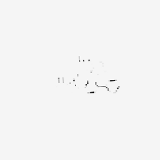 Cl.NC1CCN(c2ccc(-c3ccccc3F)c(CS(N)(=O)=O)c2F)C1=O